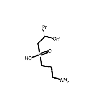 CC(C)[C@H](O)CP(=O)(O)CCCN